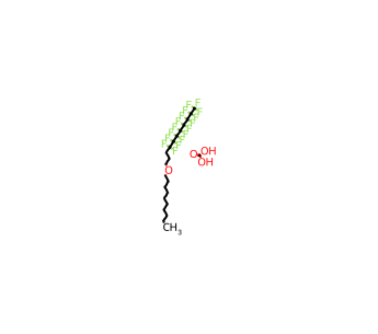 CCCCCCCCCCOCCCC(F)(F)C(F)(F)C(F)(F)C(F)(F)C(F)(F)C(F)(F)C(F)(F)C(F)(F)F.O=C(O)O